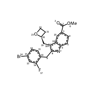 COC(=O)c1ccc2nc(Cc3ccc(Br)cc3F)n(C[C@@H]3CCO3)c2c1